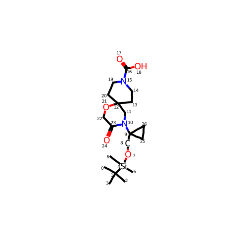 CC(C)(C)[Si](C)(C)OCC1(N2CC3(CCN(C(=O)O)CC3)OCC2=O)CC1